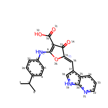 CC(C)c1ccc(NC2=C(C(=O)O)C(=O)/C(=C/c3c[nH]c4ncccc34)O2)cc1